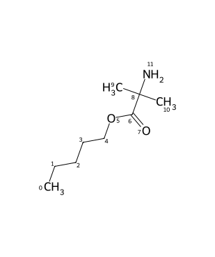 CCCCCOC(=O)C(C)(C)N